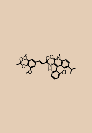 COc1cc(C=CC(=O)Nc2c(-c3ccccc3Cl)c3cc(C(C)C)ccc3n(C)c2=O)cc(OC)c1OC(C)=O